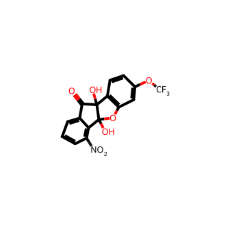 O=C1c2cccc([N+](=O)[O-])c2C2(O)Oc3cc(OC(F)(F)F)ccc3C12O